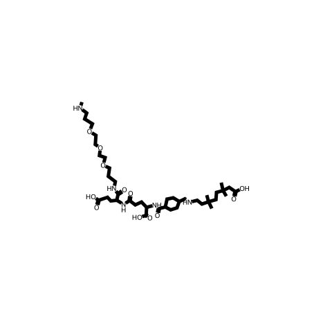 CNCCCOCCOCCOCCCNC(=O)C(CCC(=O)O)NC(=O)CCC(NC(=O)C1CCC(CNCCC(C)(C)CCC(C)(C)CC(=O)O)CC1)C(=O)O